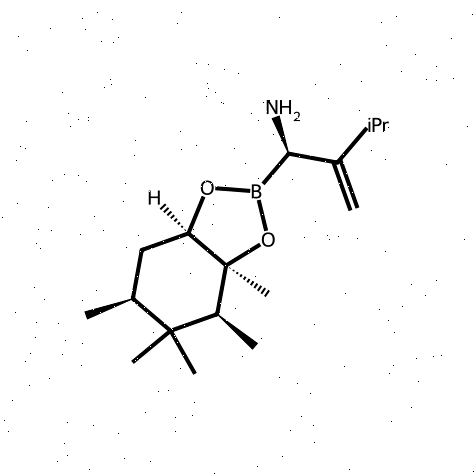 C=C(C(C)C)[C@H](N)B1O[C@@H]2C[C@H](C)C(C)(C)[C@H](C)[C@]2(C)O1